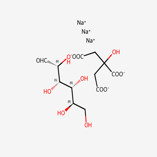 O=C([O-])CC(O)(CC(=O)[O-])C(=O)[O-].O=C[C@H](O)[C@@H](O)[C@H](O)[C@H](O)CO.[Na+].[Na+].[Na+]